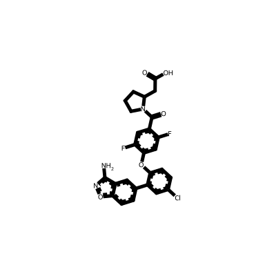 Nc1noc2ccc(-c3cc(Cl)ccc3Oc3cc(F)c(C(=O)N4CCCC4CC(=O)O)cc3F)cc12